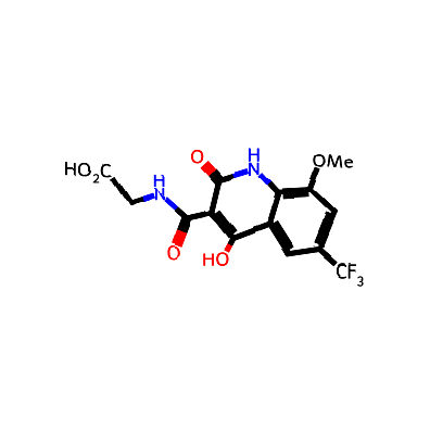 COc1cc(C(F)(F)F)cc2c(O)c(C(=O)NCC(=O)O)c(=O)[nH]c12